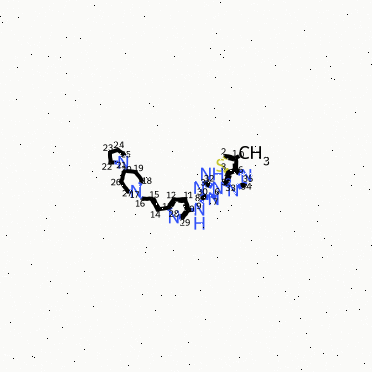 Cc1csc2c(-n3nc(Nc4ccc(C=CCN5CCC(N6CCCC6)CC5)nc4)nc3N)ncnc12